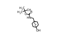 CC(C)(C)OC(=O)NCC12CCC(O)(CC1)CC2